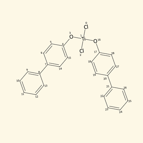 [Cl][Ti]([Cl])([O]c1ccc(-c2ccccc2)cc1)[O]c1ccc(-c2ccccc2)cc1